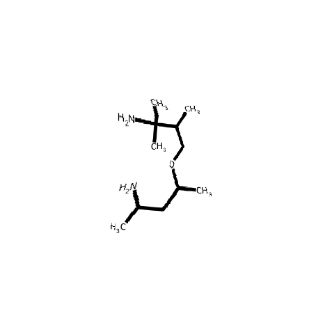 CC(N)CC(C)OCC(C)C(C)(C)N